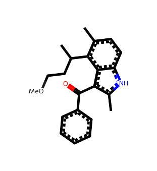 COCCC(C)c1c(C)ccc2[nH]c(C)c(C(=O)c3ccccc3)c12